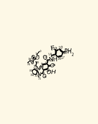 CCOP(=O)(CCN1n2cc(C(=O)NCc3ccc(P)cc3F)c(=O)c(O)c2C(=O)N(C)C12CCCC2)OCC